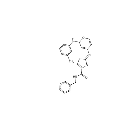 Cc1cccc(NC2C=C(N=C3CC=C(C(=O)NCc4ccccc4)S3)C=CO2)c1